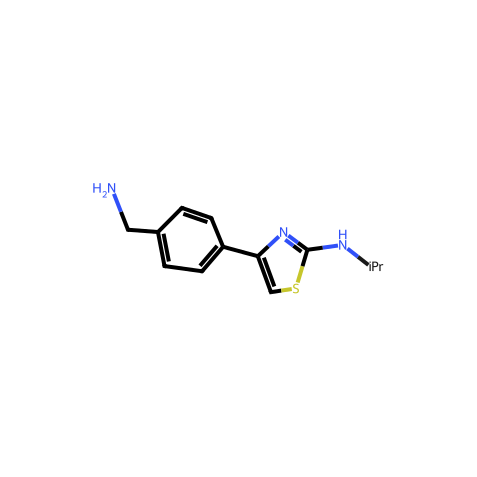 CC(C)Nc1nc(-c2ccc(CN)cc2)cs1